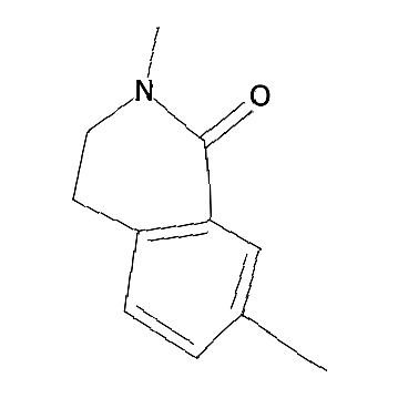 Cc1ccc2c(c1)C(=O)N(C)CC2